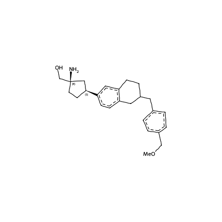 COCc1ccc(CC2CCc3cc([C@H]4CC[C@](N)(CO)C4)ccc3C2)cc1